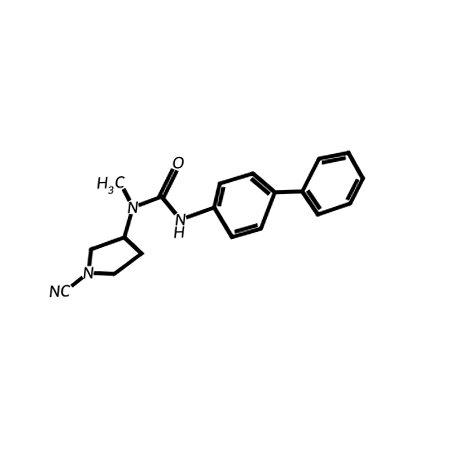 CN(C(=O)Nc1ccc(-c2ccccc2)cc1)C1CCN(C#N)C1